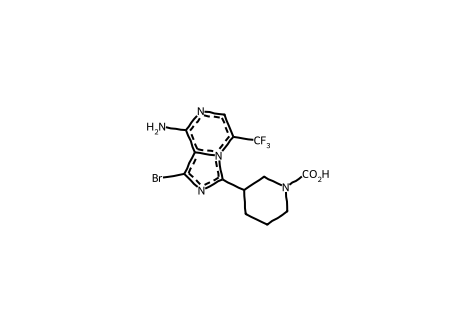 Nc1ncc(C(F)(F)F)n2c(C3CCCN(C(=O)O)C3)nc(Br)c12